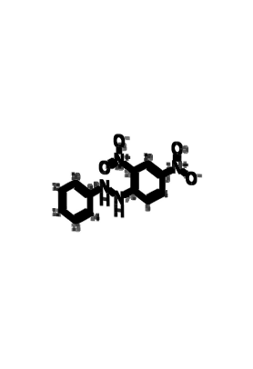 O=[N+]([O-])c1ccc(NNc2ccccc2)c([N+](=O)[O-])c1